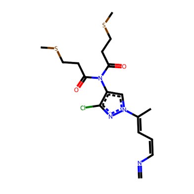 C=N/C=C\C=C(/C)n1cc(N(C(=O)CCSC)C(=O)CCSC)c(Cl)n1